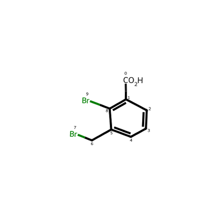 O=C(O)c1cccc(CBr)c1Br